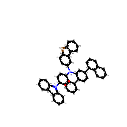 c1ccc(-c2ccc(-c3cccc4ccccc34)cc2N(c2ccc(-n3c4ccccc4c4ccccc43)cc2)c2ccc3sc4ccccc4c3c2)cc1